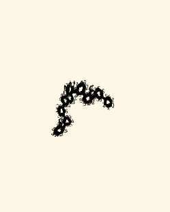 c1ccc(-c2ccc3sc4c(-c5cccc(-c6ncnc7c6ccc6cc(-c8cccc(-c9cccc%10c9sc9ccccc9%10)c8)ccc67)c5)cccc4c3c2)cc1